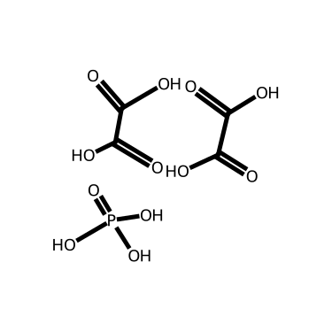 O=C(O)C(=O)O.O=C(O)C(=O)O.O=P(O)(O)O